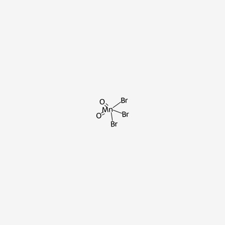 [O]=[Mn](=[O])([Br])([Br])[Br]